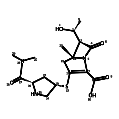 C[C@@H](O)[C@H]1C(=O)N2C(C(=O)O)=C(S[C@@H]3CN[C@H](C(=O)N(C)C)C3)C[C@]12C